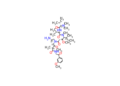 CC[C@H](C)C([C@@H](CC(=O)N1C[C@@H](N)C[C@H]1[C@H](OC)[C@@H](C)C(=O)NCC(=O)c1cccc(OC)c1)OC)N(C)C(=O)[C@@H](NC(=O)[C@H](C(C)C)N(C)C)C(C)C